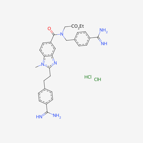 CCOC(=O)CN(Cc1ccc(C(=N)N)cc1)C(=O)c1ccc2c(c1)nc(CCc1ccc(C(=N)N)cc1)n2C.Cl.Cl